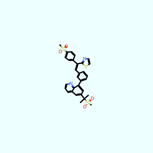 CC(C)(c1cc(-c2cccc(C=C(c3ccc(S(C)(=O)=O)cc3)c3nccs3)c2)c2ncccc2c1)S(C)(=O)=O